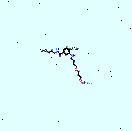 CCCCCCCOCCCOCCCCNc1cc(C(=O)NCCCSC)ccc1SC